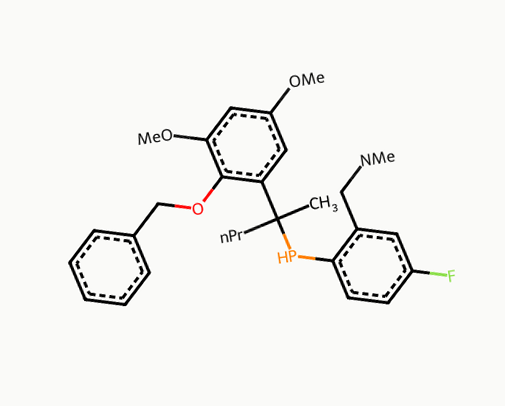 CCCC(C)(Pc1ccc(F)cc1CNC)c1cc(OC)cc(OC)c1OCc1ccccc1